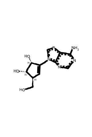 Nc1ncnc2c1ncn2C1=C[C@@H](CO)[C@H](O)[C@@H]1O